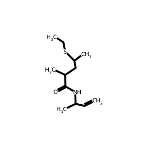 C=CC(C)NC(=O)C(C)CC(C)SCC